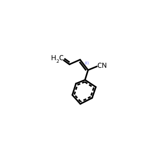 C=C/C=C(/C#N)c1ccccc1